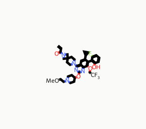 C=CC(=O)N1CC2(CCN(c3nc(OC4CCN(CCOC)CC4)nc4c(OCC(F)(F)F)c(-c5c(O)cccc5F)c(C5CC5)cc34)CC2)C1